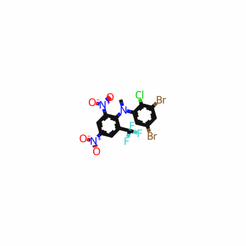 CN(c1cc(Br)cc(Br)c1Cl)c1c([N+](=O)[O-])cc([N+](=O)[O-])cc1C(F)(F)F